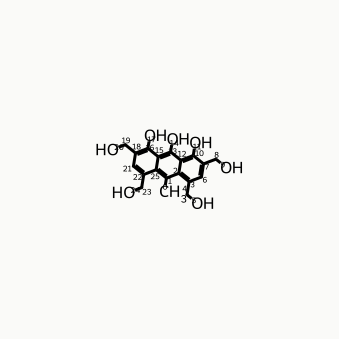 Cc1c2c(CO)cc(CO)c(O)c2c(O)c2c(O)c(CO)cc(CO)c12